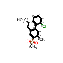 CS(=O)(=O)c1cc(CCC(=O)O)c(-c2ccccc2Cl)cc1C(F)(F)F